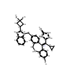 O=c1[nH]c(/C(=C2\c3ccc(Cn4c(C5CC(F)(F)C5)nc5ccccc54)cc3COc3cc(F)ccc32)C2CC2)no1